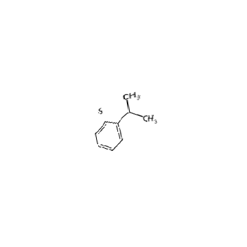 CC(C)c1ccccc1.[S]